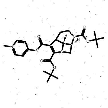 C[n+]1ccc(SC(=O)C2=C(C(=O)OC(C)(C)C)N3C[C@H]4[C@H]3C2CCN4C(=O)OC(C)(C)C)cc1.[I-]